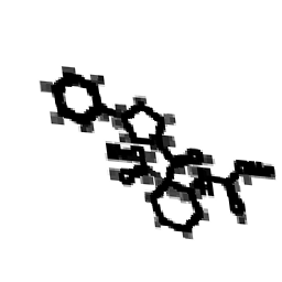 COC(=O)N[C@H]1CCCC[C@@]1(C(=O)OC)C(=O)N1CC[C@H](c2ccccc2)C1